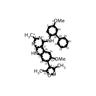 COc1ccc(Nc2nc(C)nc3[nH]c4cc(-c5c(C)noc5C)c(OC)cc4c23)c(-c2ccccc2)c1